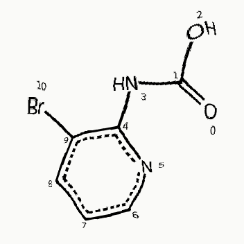 O=C(O)Nc1ncccc1Br